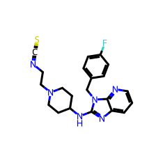 Fc1ccc(Cn2c(NC3CCN(CCN=C=S)CC3)nc3cccnc32)cc1